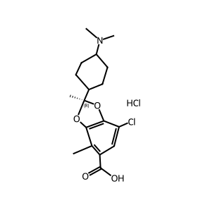 Cc1c(C(=O)O)cc(Cl)c2c1O[C@@](C)(C1CCC(N(C)C)CC1)O2.Cl